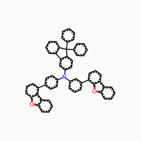 c1ccc(C2(c3ccccc3)c3ccccc3-c3cc(N(c4ccc(-c5cccc6oc7ccccc7c56)cc4)c4cccc(-c5cccc6c5oc5ccccc56)c4)ccc32)cc1